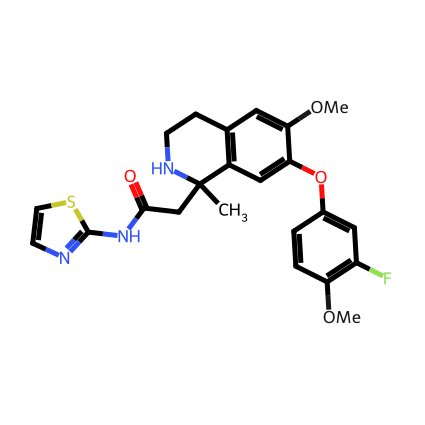 COc1ccc(Oc2cc3c(cc2OC)CCNC3(C)CC(=O)Nc2nccs2)cc1F